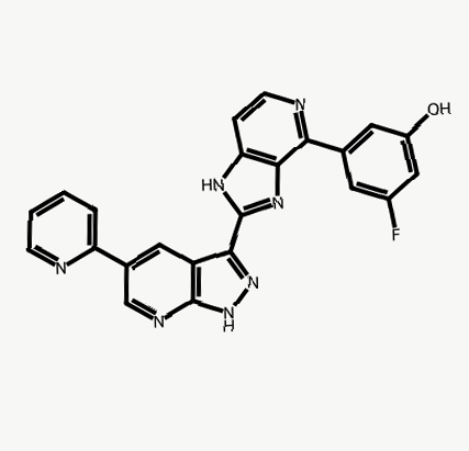 Oc1cc(F)cc(-c2nccc3[nH]c(-c4n[nH]c5ncc(-c6ccccn6)cc45)nc23)c1